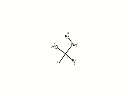 CCNC(C)(O)Br